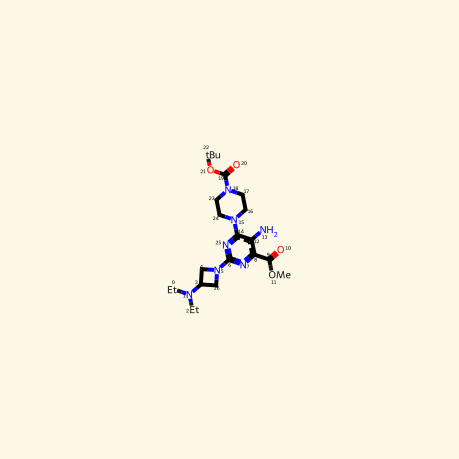 CCN(CC)C1CN(c2nc(C(=O)OC)c(N)c(N3CCN(C(=O)OC(C)(C)C)CC3)n2)C1